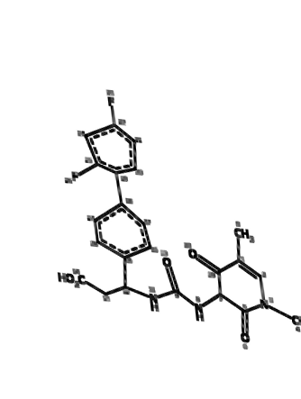 CC1=CN(C)C(=O)C(NC(=O)NC(CC(=O)O)c2ccc(-c3ccc(F)cc3F)cc2)C1=O